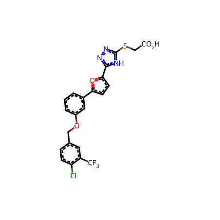 O=C(O)CSc1nnc(-c2ccc(-c3cccc(OCc4ccc(Cl)c(C(F)(F)F)c4)c3)o2)[nH]1